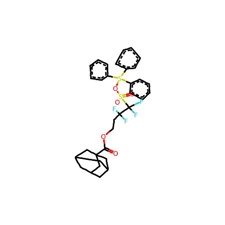 O=C(OCCC(F)(F)C(F)(F)S(=O)(=O)OS(c1ccccc1)(c1ccccc1)c1ccccc1)C12CC3CC(CC(C3)C1)C2